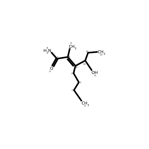 CCCCC(=C(C)C(N)=O)C(O)CC